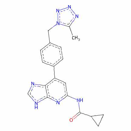 Cc1nnnn1Cc1ccc(-c2cc(NC(=O)C3CC3)nc3[nH]cnc23)cc1